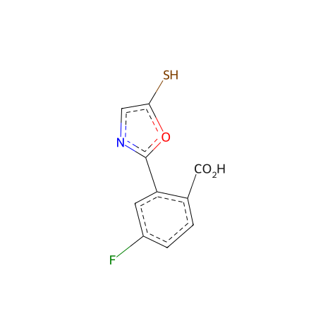 O=C(O)c1ccc(F)cc1-c1ncc(S)o1